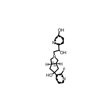 Oc1ccc(C(O)CN2C[C@@H]3CC(O)(c4cccnc4F)C[C@@H]3C2)nc1